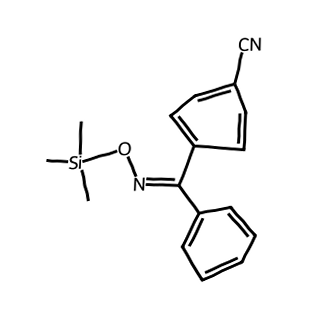 C[Si](C)(C)ON=C(c1ccccc1)c1ccc(C#N)cc1